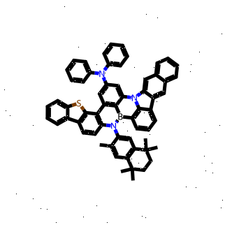 Cc1cc2c(cc1N1B3c4c(cc(N(c5ccccc5)c5ccccc5)cc4-n4c5cc6ccccc6cc5c5cccc3c54)-c3c1ccc1c3sc3ccccc31)C(C)(C)CCC2(C)C